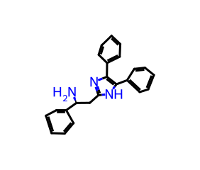 N[C@@H](Cc1nc(-c2ccccc2)c(-c2ccccc2)[nH]1)c1ccccc1